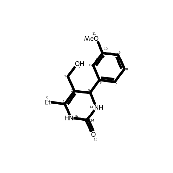 CCC1=C(CO)C(c2cccc(OC)c2)NC(=O)N1